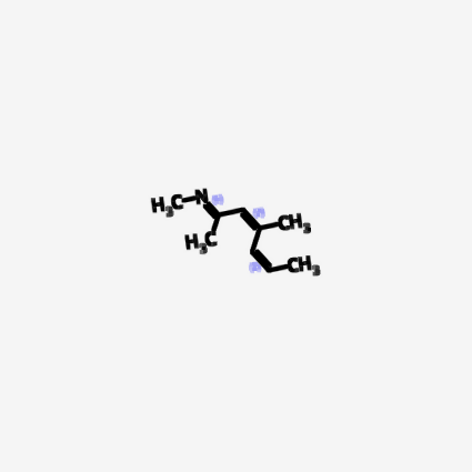 C\C=C/C(C)=C\C(C)=N\C